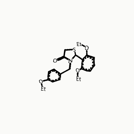 CCOc1ccc(CN2C(=O)CSC2c2c(OCC)cccc2OCC)cc1